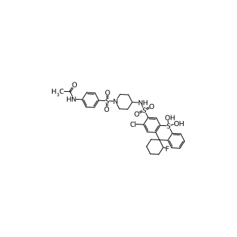 CC(=O)Nc1ccc(S(=O)(=O)N2CCC(NS(=O)(=O)c3cc4c(cc3Cl)C3(CCCCC3F)c3ccccc3S4(O)O)CC2)cc1